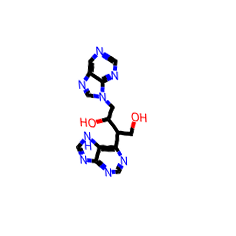 OCC(c1ncnc2nc[nH]c12)C(O)Cn1cnc2cncnc21